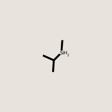 [CH2][SiH2]C(C)C